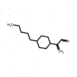 C=C(C=O)C1CCC(CCCCC)CC1